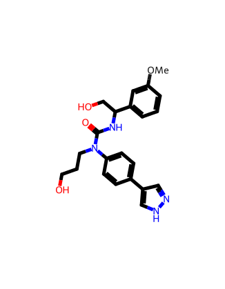 COc1cccc(C(CO)NC(=O)N(CCCO)c2ccc(-c3cn[nH]c3)cc2)c1